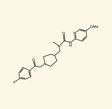 COc1ccc(NC(=O)N(C)CC2CCN(CC(=O)c3ccc(F)cc3)CC2)nc1